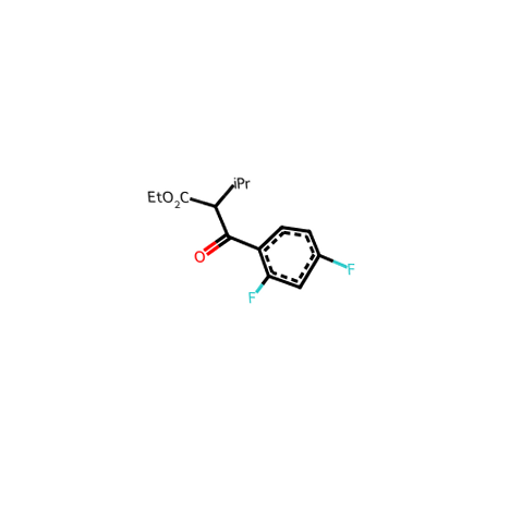 CCOC(=O)C(C(=O)c1ccc(F)cc1F)C(C)C